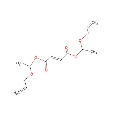 C=CCOC(C)OC(=O)/C=C/C(=O)OC(C)OCC=C